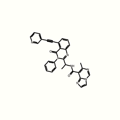 Cc1ncn2ccnc2c1C(=O)NC(C)c1nc2cccc(C#Cc3cccnc3)c2c(=O)n1-c1ccccc1